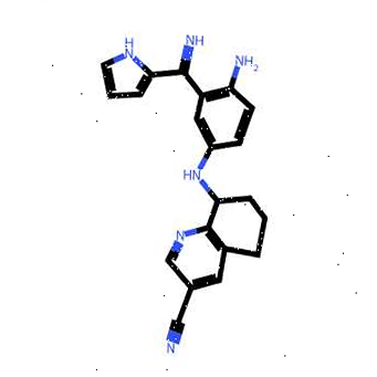 N#Cc1cnc2c(c1)CCCC2Nc1ccc(N)c(C(=N)c2ccc[nH]2)c1